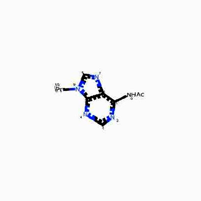 CC(=O)Nc1ncnc2c1ncn2C(C)C